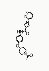 CC(=O)N1CCC(Oc2ccc(NC(=O)C3CN(c4cccnn4)C3)cc2)CC1